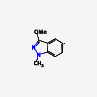 COc1nn(C)c2cc[c]cc12